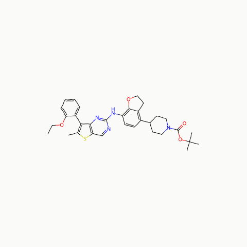 CCOc1ccccc1-c1c(C)sc2cnc(Nc3ccc(C4CCN(C(=O)OC(C)(C)C)CC4)c4c3OCC4)nc12